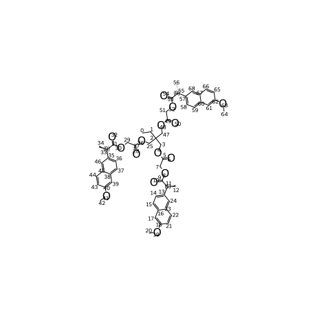 CCC(COC(=O)COC(=O)[C@@H](C)c1ccc2cc(OC)ccc2c1)(COC(=O)COC(=O)[C@H](C)c1ccc2cc(OC)ccc2c1)COC(=O)COC(=O)[C@H](C)c1ccc2cc(OC)ccc2c1